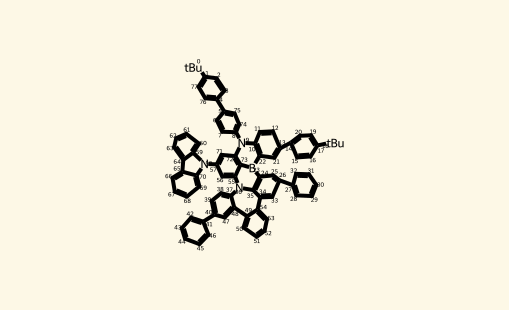 CC(C)(C)c1ccc(-c2ccc(N3c4ccc(-c5ccc(C(C)(C)C)cc5)cc4B4c5cc(-c6ccccc6)cc6c5N(c5ccc(-c7ccccc7)cc5-c5ccccc5-6)c5cc(-n6c7ccccc7c7ccccc76)cc3c54)cc2)cc1